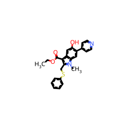 CCOC(=O)c1c(CSc2ccccc2)n(C)c2cc(-c3ccncc3)c(O)cc12